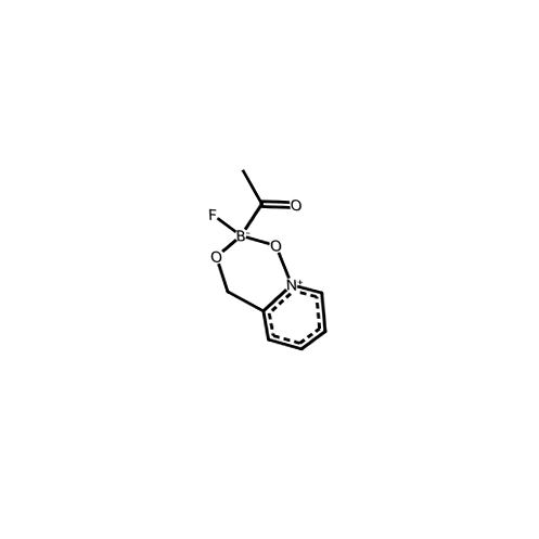 CC(=O)[B-]1(F)OCc2cccc[n+]2O1